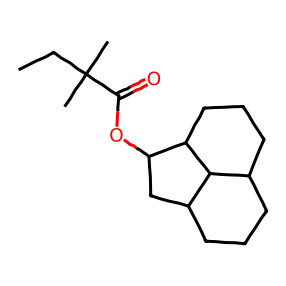 CCC(C)(C)C(=O)OC1CC2CCCC3CCCC1C32